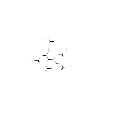 CCCCC(=O)OCC(OC(=O)CCCC)C(OC(=O)CCCC)C(COC(=O)CCCC)OC(=O)CCCC